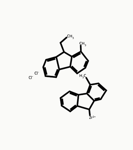 CCC1c2ccccc2-c2cccc(C)c21.Cc1cccc2c1-c1ccccc1[CH]2[Zr+2].[Cl-].[Cl-]